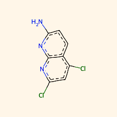 Nc1ccc2c(Cl)cc(Cl)nc2n1